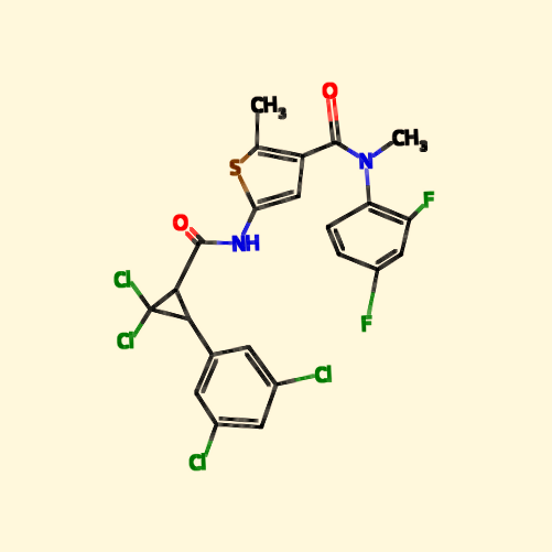 Cc1sc(NC(=O)C2C(c3cc(Cl)cc(Cl)c3)C2(Cl)Cl)cc1C(=O)N(C)c1ccc(F)cc1F